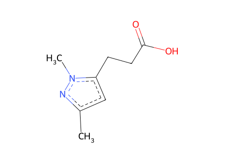 Cc1cc(CCC(=O)O)n(C)n1